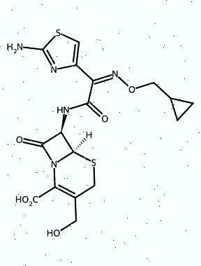 Nc1nc(/C(=N/OCC2CC2)C(=O)N[C@@H]2C(=O)N3C(C(=O)O)=C(CO)CS[C@H]23)cs1